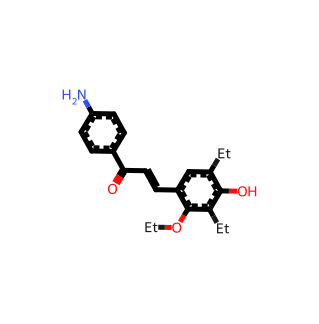 CCOc1c(/C=C/C(=O)c2ccc(N)cc2)cc(CC)c(O)c1CC